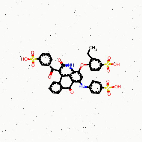 CCc1cc(S(=O)(=O)O)ccc1Oc1cc(Nc2ccc(S(=O)(=O)O)cc2)c2c3c(c(C(=O)c4cccc(S(=O)(=O)O)c4)c(=O)[nH]c13)-c1ccccc1C2=O